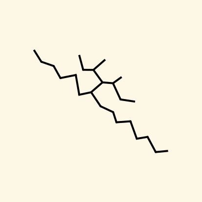 CCCCCCCCC(CCCCCC)C(C(C)CC)C(C)CC